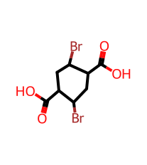 O=C(O)C1CC(Br)C(C(=O)O)CC1Br